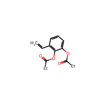 C=Cc1cccc(OC(=O)CC)c1OC(=O)CC